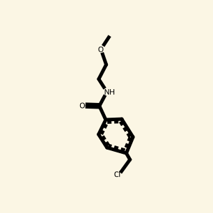 COCCNC(=O)c1ccc(CCl)cc1